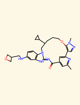 Cc1cc2cc(n1)-c1cnn(C)c1OCCCC(C1CC1)CN1/C(=N/C2=O)Nc2cc(NCC3COC3)ccc21